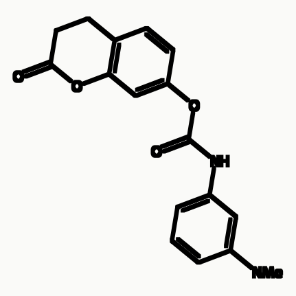 CNc1cccc(NC(=O)Oc2ccc3c(c2)OC(=O)CC3)c1